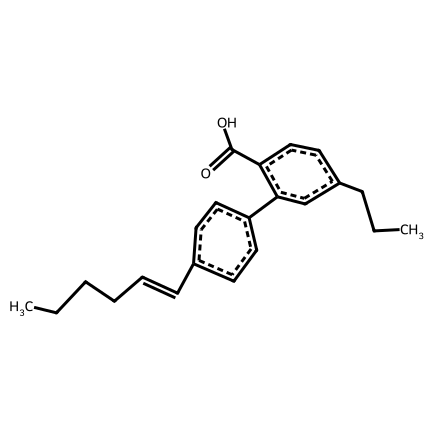 CCCCC=Cc1ccc(-c2cc(CCC)ccc2C(=O)O)cc1